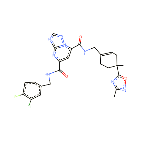 Cc1noc(C2(C)CC=C(CNC(=O)c3cc(C(=O)NCc4ccc(F)c(Cl)c4)nc4ncnn34)CC2)n1